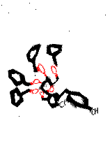 C#Cc1ccc(Cc2cc3c(cc2C)CO[C@]32O[C@H](COCc3ccccc3)[C@H](OCc3ccccc3)[C@H](OCc3ccccc3)[C@H]2OCc2ccccc2)cc1